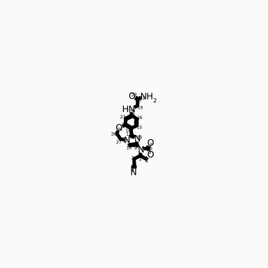 N#CCC1COC(=O)N1c1cn2c(n1)-c1ccc(NCC(N)=O)cc1OCC2